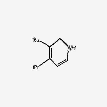 CC(C)C1=C(C(C)(C)C)CNC=C1